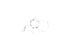 CC(=O)Nc1c2c(nc(C)c1C(C)=C(C)C)CCCCC2